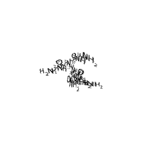 NCCNC(=O)CCN(CCC(=O)NCCN)CCN(CCC(=O)NCCN)CC(CCN)C(N)=O